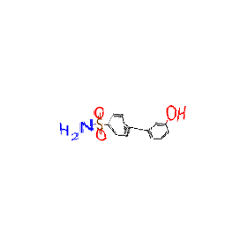 NS(=O)(=O)c1ccc(-c2cccc(O)c2)cc1